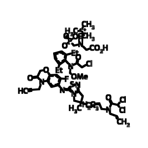 C#CCN1C(=O)COc2cc(F)c(/N=c3\snc4n3CC(C)(C)C4)cc21.C=CCN(CC=C)C(=O)C(Cl)Cl.CCc1cccc(CC)c1N(COC)C(=O)CCl.C[S+](C)C.O=C(O)CNCP(=O)([O-])O